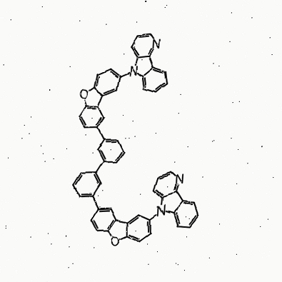 c1cc(-c2cccc(-c3ccc4oc5ccc(-n6c7ccccc7c7ncccc76)cc5c4c3)c2)cc(-c2ccc3oc4ccc(-n5c6ccccc6c6ncccc65)cc4c3c2)c1